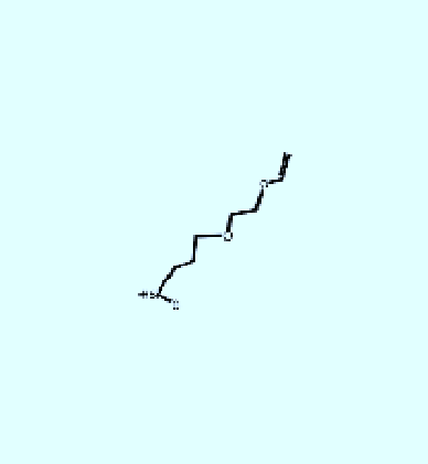 C=COCCOCCC[SiH](C)[O]